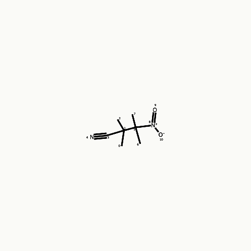 CC(C)(C#N)C(C)(C)[N+](=O)[O-]